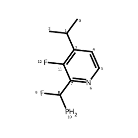 CC(C)c1ccnc(C(F)P)c1F